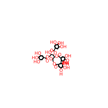 O=C(OC1OC2COC(=O)c3cc(O)c(O)c(O)c3-c3c(cc(O)c(O)c3O)C(=O)OC2C(OC(=O)c2cc(O)c(O)c(O)c2)C1O)c1cc(O)c(O)c(O)c1